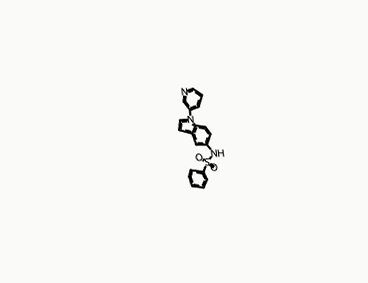 O=S(=O)(Nc1ccc2c(ccn2-c2cccnc2)c1)c1ccccc1